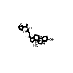 CC(NC(=O)C[C@@H](C)C1CC[C@H]2[C@@H]3[C@H](O)C[C@@H]4C[C@H](O)CC[C@]4(C)[C@H]3CC[C@]12C)c1cccs1